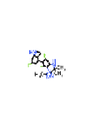 Cc1nnc2n1-c1c(cc(F)c(-c3cc(F)cc4[nH]ccc34)c1F)NC2(C)C